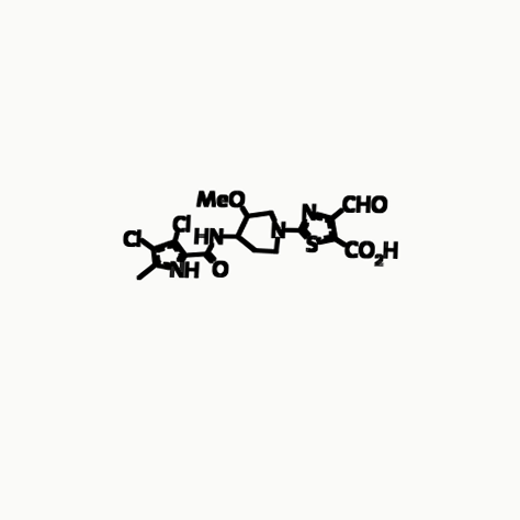 COC1CN(c2nc(C=O)c(C(=O)O)s2)CCC1NC(=O)c1[nH]c(C)c(Cl)c1Cl